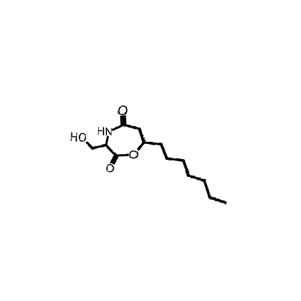 CCCCCCCC1CC(=O)NC(CO)C(=O)O1